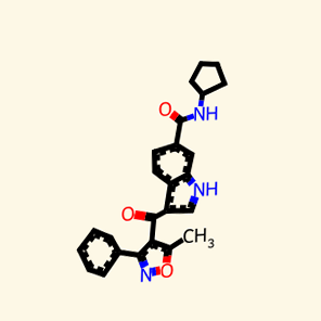 Cc1onc(-c2ccccc2)c1C(=O)c1c[nH]c2cc(C(=O)NC3CCCC3)ccc12